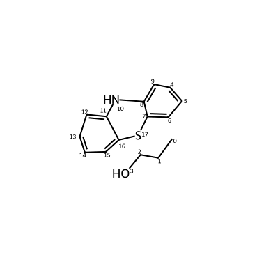 CCCO.c1ccc2c(c1)Nc1ccccc1S2